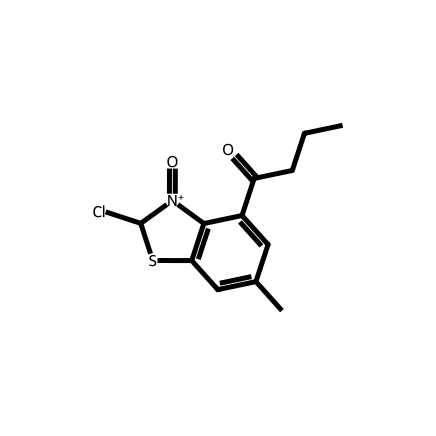 CCCC(=O)c1cc(C)cc2c1[N+](=O)C(Cl)S2